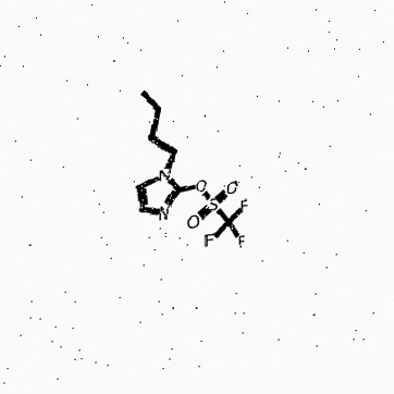 CCCCn1ccnc1OS(=O)(=O)C(F)(F)F